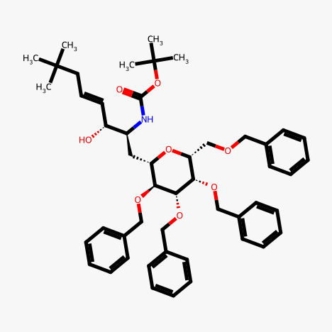 CC(C)(C)CC=C[C@@H](O)[C@H](C[C@@H]1O[C@H](COCc2ccccc2)[C@H](OCc2ccccc2)[C@H](OCc2ccccc2)[C@H]1OCc1ccccc1)NC(=O)OC(C)(C)C